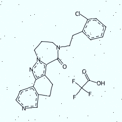 O=C(O)C(F)(F)F.O=C1c2c3c(nn2CCCN1CCc1ccccc1Cl)-c1ccncc1CC3